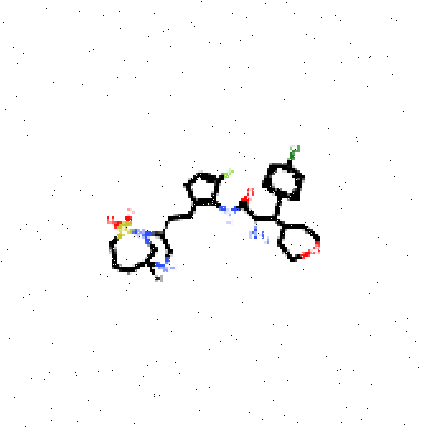 N[C@H](C(=O)NC1=C(CC[C@H]2CN[C@@H]3CCCS(=O)(=O)N2C3)CC=C1F)C(c1ccc(Cl)cc1)C1CCOCC1